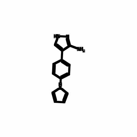 Nc1n[nH]cc1-c1ccc([SH]2C=CC=C2)cc1